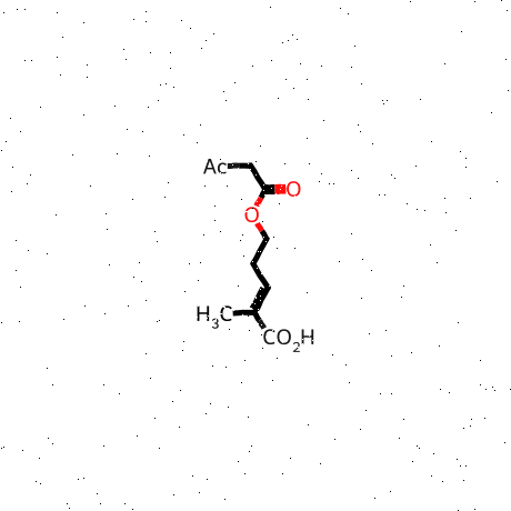 CC(=O)CC(=O)OCCC=C(C)C(=O)O